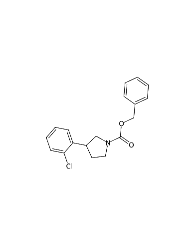 O=C(OCc1ccccc1)N1CCC(c2ccccc2Cl)C1